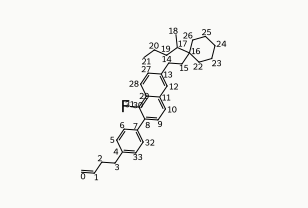 C=CCCc1ccc(-c2ccc3cc(CCC4(C(C)CCC)CCCCC4)ccc3c2F)cc1